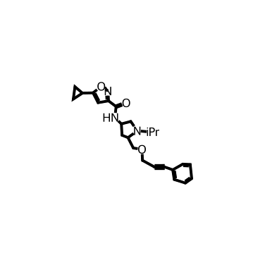 CC(C)N1CC(NC(=O)c2cc(C3CC3)on2)CC1COCC#Cc1ccccc1